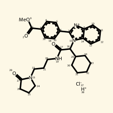 COC(=O)c1ccc(-c2nc3ccccc3n2C(C(=O)NCCCN2CCCC2=O)C2CCCCC2)cc1.[Cl-].[H+]